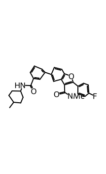 CNC(=O)c1c(-c2ccc(F)cc2)oc2ccc(-c3cccc(C(=O)NC4CCC(C)CC4)c3)cc12